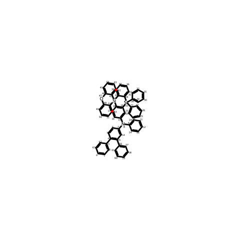 c1ccc(-c2ccc(N(c3ccccc3)c3ccc4c(c3)[Si](c3ccccc3)(c3ccccc3)c3ccccc3[Si]43c4ccccc4Oc4ccccc43)cc2-c2ccccc2)cc1